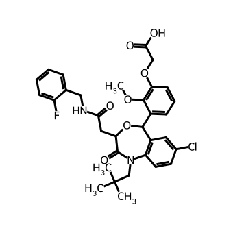 COc1c(OCC(=O)O)cccc1C1OC(CC(=O)NCc2ccccc2F)C(=O)N(CC(C)(C)C)c2ccc(Cl)cc21